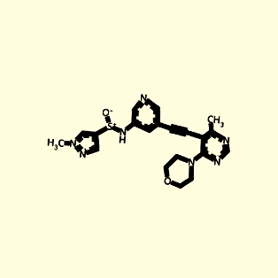 Cc1ncnc(N2CCOCC2)c1C#Cc1cncc(N[S+]([O-])c2cnn(C)c2)c1